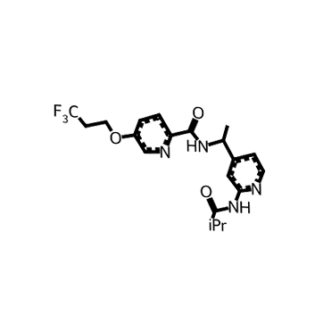 CC(C)C(=O)Nc1cc(C(C)NC(=O)c2ccc(OCCC(F)(F)F)cn2)ccn1